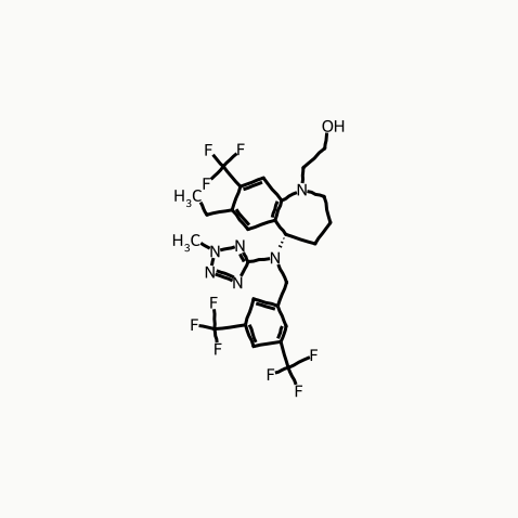 CCc1cc2c(cc1C(F)(F)F)N(CCO)CCC[C@@H]2N(Cc1cc(C(F)(F)F)cc(C(F)(F)F)c1)c1nnn(C)n1